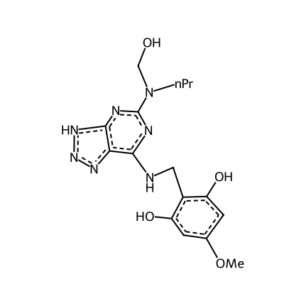 CCCN(CO)c1nc(NCc2c(O)cc(OC)cc2O)c2nn[nH]c2n1